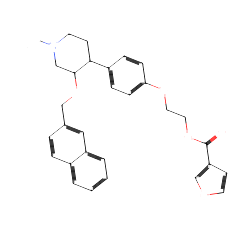 O=C(OCCOc1ccc(C2CCN(C(=O)O)CC2OCc2ccc3ccccc3c2)cc1)c1ccoc1